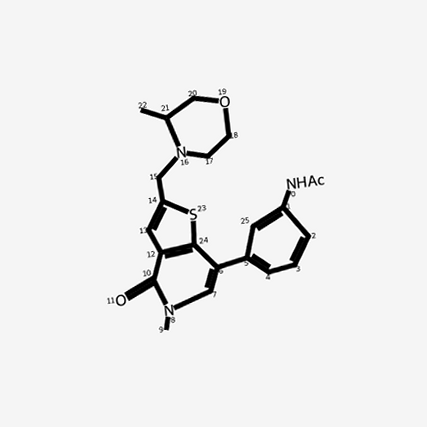 CC(=O)Nc1cccc(-c2cn(C)c(=O)c3cc(CN4CCOCC4C)sc23)c1